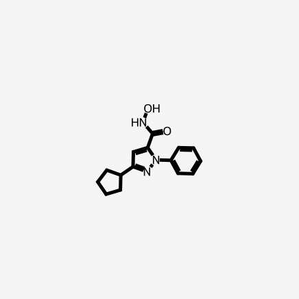 O=C(NO)c1cc(C2CCCC2)nn1-c1ccccc1